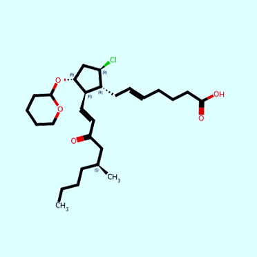 CCCC[C@H](C)CC(=O)C=C[C@@H]1[C@@H](CC=CCCCC(=O)O)[C@H](Cl)C[C@H]1OC1CCCCO1